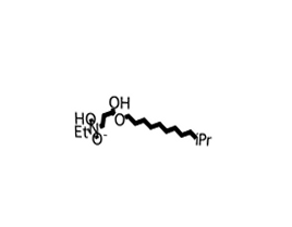 CC[N+]([O-])(O)CCC(O)OCCCCCCCCCC(C)C